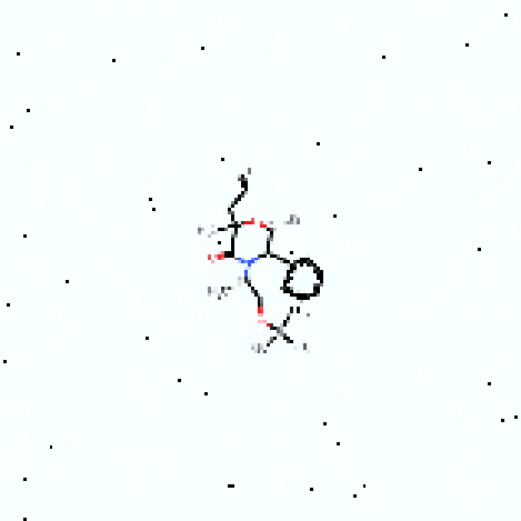 C=CCC1(C)O[C@H](CC)C(c2ccccc2)N([C@@H](C)CO[Si](C)(C)C(C)(C)C)C1=O